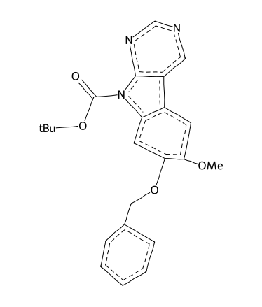 COc1cc2c3cncnc3n(C(=O)OC(C)(C)C)c2cc1OCc1ccccc1